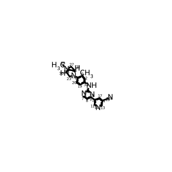 Cc1cc(Nc2nccc(-c3cncc(C#N)c3)n2)ccc1N1C[C@@H]2C[C@H]1CN2C